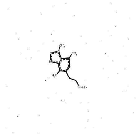 Cc1c(CCC(=O)O)cc(C)c2c1nnn2C